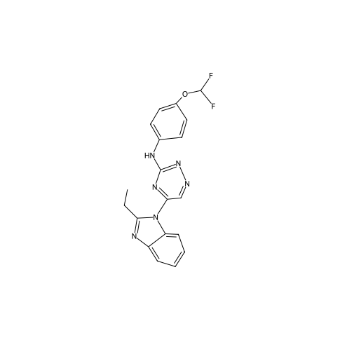 CCc1nc2ccccc2n1-c1cnnc(Nc2ccc(OC(F)F)cc2)n1